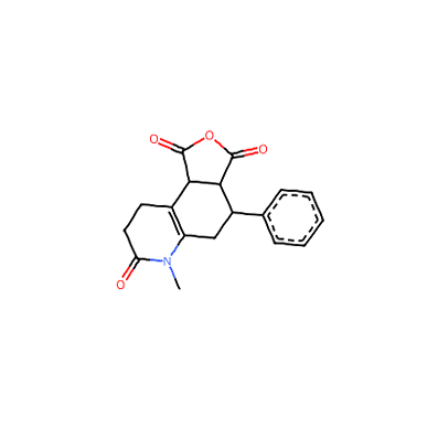 CN1C(=O)CCC2=C1CC(c1ccccc1)C1C(=O)OC(=O)C21